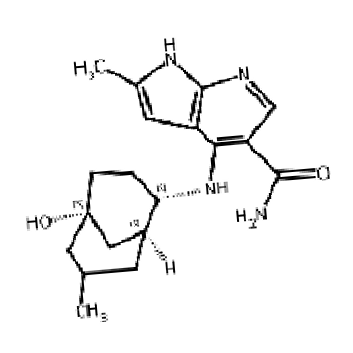 Cc1cc2c(N[C@H]3CC[C@]4(O)CC(C)C[C@H]3C4)c(C(N)=O)cnc2[nH]1